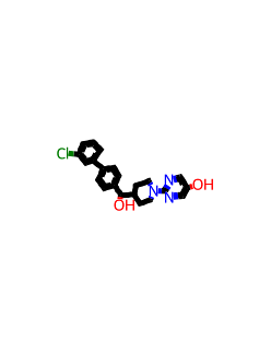 Oc1cnc(N2CCC(C(O)c3ccc(-c4cccc(Cl)c4)cc3)CC2)nc1